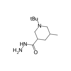 CC1CC(C(=O)NN)CN(C(C)(C)C)C1